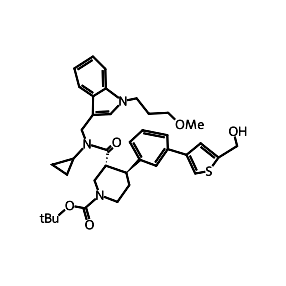 COCCCn1cc(CN(C(=O)[C@H]2CN(C(=O)OC(C)(C)C)CC[C@@H]2c2cccc(-c3csc(CO)c3)c2)C2CC2)c2ccccc21